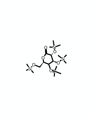 C[Si](C)(C)OC[C@H]1OC(=O)[C@H](O[Si](C)(C)C)[C@@H](O[Si](C)(C)C)C1O[Si](C)(C)C